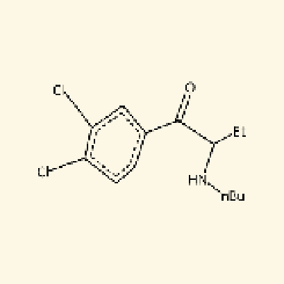 CCCCNC(CC)C(=O)c1ccc(Cl)c(Cl)c1